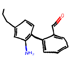 CCc1ccc(-c2ccccc2C=O)c(N)c1